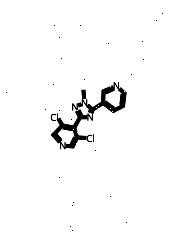 Cn1nc(-c2c(Cl)cncc2Cl)nc1-c1cccnc1